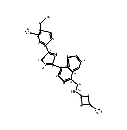 CC(C)Cc1ccc(C2=NC(c3ccc(CNC4CC(C)C4)c4ccccc34)=NC2)cc1C#N